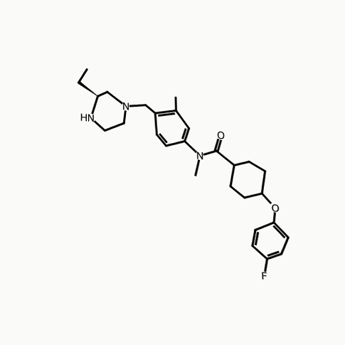 CC[C@H]1CN(Cc2ccc(N(C)C(=O)C3CCC(Oc4ccc(F)cc4)CC3)cc2C)CCN1